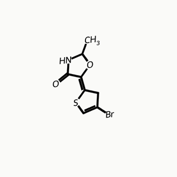 CC1NC(=O)C(=C2CC(Br)=CS2)O1